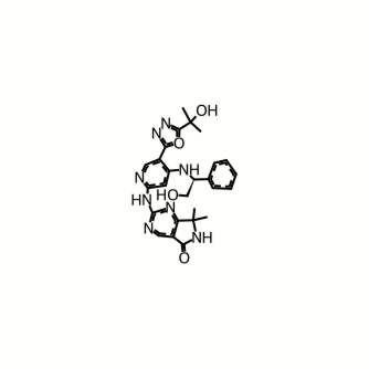 CC(C)(O)c1nnc(-c2cnc(Nc3ncc4c(n3)C(C)(C)NC4=O)cc2N[C@H](CO)c2ccccc2)o1